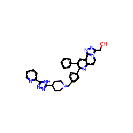 OCc1nnc2c3cc(-c4ccccc4)c(-c4ccc(CN5CCC(c6nnc(-c7ccccn7)[nH]6)CC5)cc4)nc3ccn12